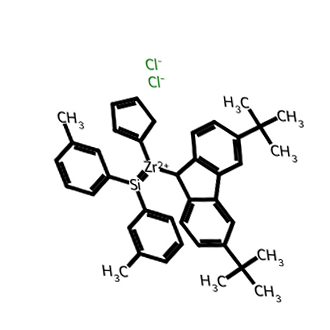 Cc1cccc([Si](c2cccc(C)c2)=[Zr+2]([C]2=CC=CC2)[CH]2c3ccc(C(C)(C)C)cc3-c3cc(C(C)(C)C)ccc32)c1.[Cl-].[Cl-]